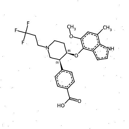 COc1cc(C)c2[nH]ccc2c1O[C@@H]1CCN(CCC(F)(F)F)C[C@@H]1c1ccc(C(=O)O)cc1